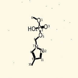 COP(=O)(O)OCn1cc(C)cn1